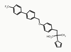 CC(Cc1ccc(OCc2ccc(-c3ccc(C(F)(F)F)cc3)cc2)cc1)(C(=O)O)n1cccc1